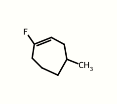 CC1CC=C(F)CCC1